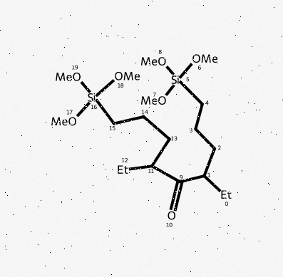 CCC(CCC[Si](OC)(OC)OC)C(=O)C(CC)CCC[Si](OC)(OC)OC